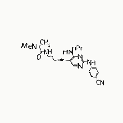 CCCNc1nc(Nc2ccc(C#N)cc2)ncc1C#CCCCNC(=O)[C@@H](C)NC